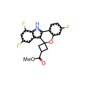 COC(=O)C1CC2(C1)Oc1cc(F)ccc1-c1[nH]c3c(F)cc(F)cc3c12